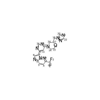 FC(F)c1ccc2ncc(-c3cc(N4CCOC(Cn5cncn5)C4)ncn3)n2n1